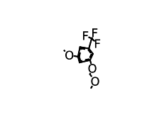 COCOc1cc(OC)cc(C(F)(F)F)c1